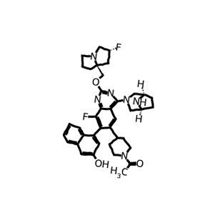 CC(=O)N1CCC(c2cc3c(N4C[C@H]5CC[C@@H](C4)N5)nc(OC[C@@]45CCCN4C[C@H](F)C5)nc3c(F)c2-c2cc(O)cc3ccccc23)CC1